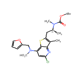 Cc1c(C[C@H](C)N(C)C(=O)OC(C)(C)C)sc2c(N(Cc3ccco3)C(=O)O)cc(Cl)nc12